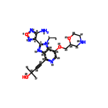 CCn1c(-c2nonc2N)nc2c(C#CC(C)(C)O)ncc(OCC3CNCCO3)c21